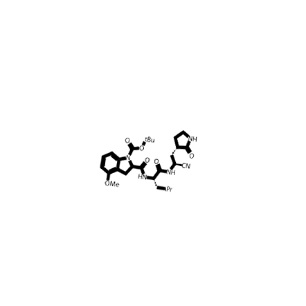 COc1cccc2c1CC(C(=O)N[C@@H](CC(C)C)C(=O)N[C@H](C#N)C[C@@H]1CCNC1=O)N2C(=O)OC(C)(C)C